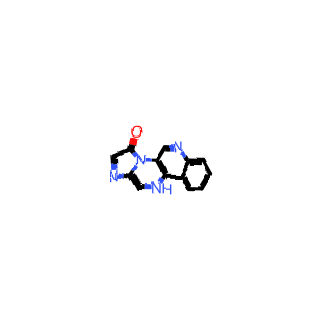 O=c1cnc2c[nH]c3c4ccccc4ncc3n1-2